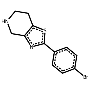 Brc1ccc(-c2nc3c(s2)CCNC3)cc1